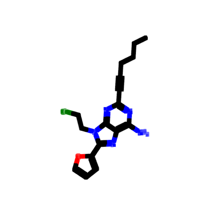 CCCCC#Cc1nc(N)c2nc(-c3ccco3)n(CCCl)c2n1